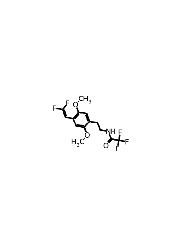 COc1cc(CCNC(=O)C(F)(F)F)c(OC)cc1C=C(F)F